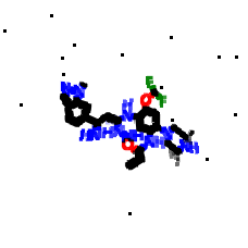 C=CC(=O)Nc1cc(N/C(=C/C(=N)c2ccc3cnn(C)c3c2)NN)c(OC(F)F)cc1N1C[C@@H](C)N[C@@H](C)C1